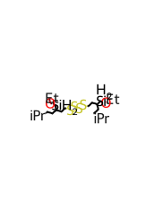 CCO[SiH2]C(CCSSSSCCC(CCC(C)C)[SiH2]OCC)CCC(C)C